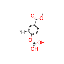 [2H]c1cc(C(=O)OC)ccc1OB(O)O